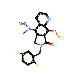 CSN(C)c1c2c(c(OP)c3ncccc13)C(=O)N(Cc1cc(F)ccc1F)C2